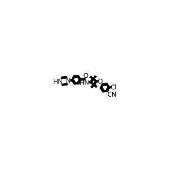 CC1(C)C(NC(=O)c2ccc(N3CCNCC3)cc2)C(C)(C)C1Oc1ccc(C#N)c(Cl)c1